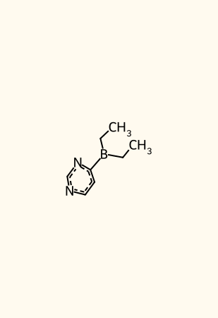 CCB(CC)c1ccncn1